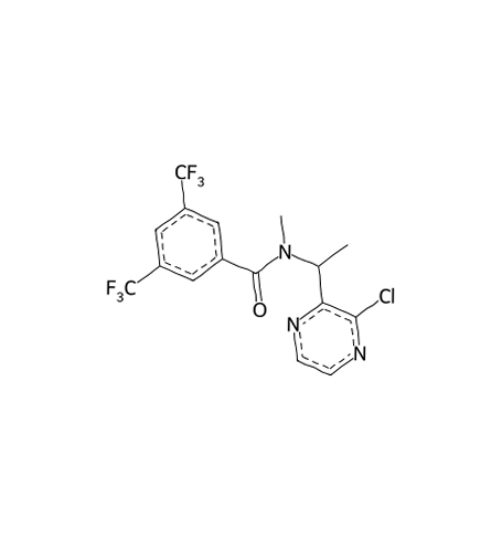 CC(c1nccnc1Cl)N(C)C(=O)c1cc(C(F)(F)F)cc(C(F)(F)F)c1